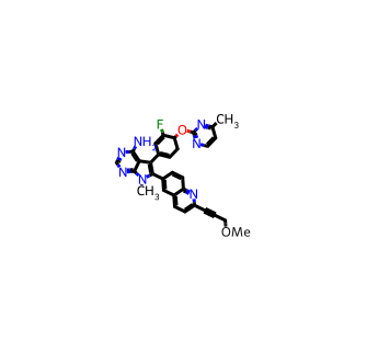 COCC#Cc1ccc2cc(-c3c(C4=CCC(Oc5nccc(C)n5)C(F)=C4)c4c(N)ncnc4n3C)ccc2n1